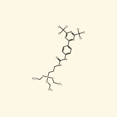 CCO[Si](CCCNC(=O)Nc1ccc(-c2nc(C(Cl)(Cl)Cl)nc(C(Cl)(Cl)Cl)n2)cc1)(OCC)OCC